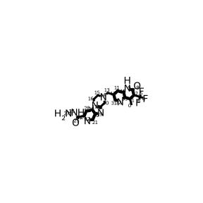 Cc1c(C(F)(F)F)c(=O)[nH]c2cc(CN3CCn4c(nc5cnc(C(=O)NN)cc54)C3)cnc12